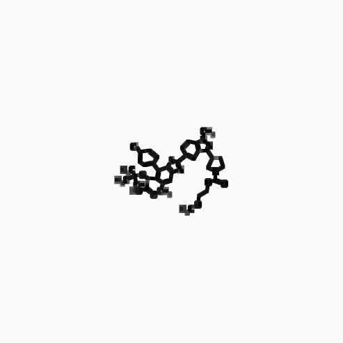 COCCOC(=O)N1CCC(c2nn(C)c3ccc(-c4nc5cc(C)c(C(OC(C)(C)C)C(=O)O)c(-c6ccc(Cl)cc6)c5s4)cc23)C1